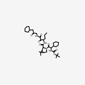 CCCC(NC(=O)C1C2C(CN1C(=O)C(NC(=O)OC(C)(C)C)C1CCCCC1)C2(C)C)C(=O)C(=O)NCC(=O)CC1CCCCC1